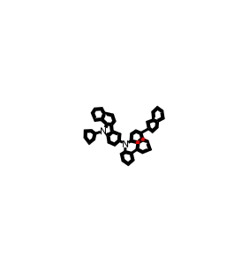 c1ccc(-c2ccccc2N(c2ccc(-c3ccc4ccccc4c3)cc2)c2ccc3c(c2)c2ccc4ccccc4c2n3-c2ccccc2)cc1